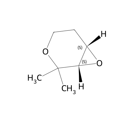 CC1(C)OCC[C@@H]2O[C@@H]21